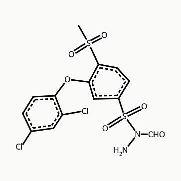 CS(=O)(=O)c1ccc(S(=O)(=O)N(N)C=O)cc1Oc1ccc(Cl)cc1Cl